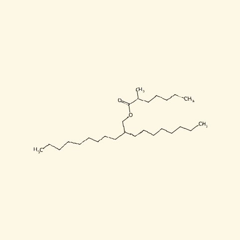 CCCCCCCCCC(CCCCCCCC)COC(=O)C(C)CCCCC